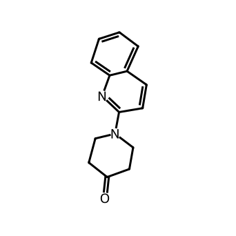 O=C1CCN(c2ccc3ccccc3n2)CC1